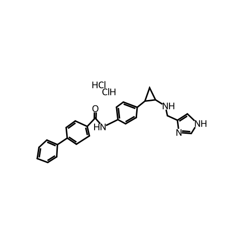 Cl.Cl.O=C(Nc1ccc(C2CC2NCc2c[nH]cn2)cc1)c1ccc(-c2ccccc2)cc1